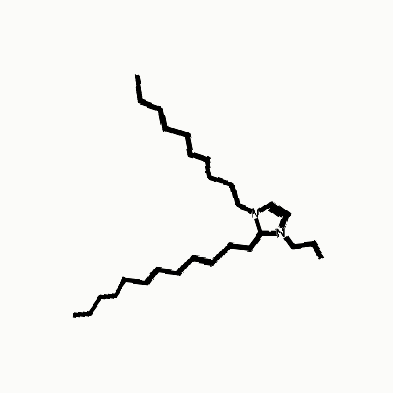 CCCCCCCCCCCCC1N(CCC)C=CN1CCCCCCCCCC